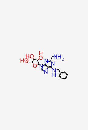 NCc1nc(NCc2ccccc2)c2ncn([C@@H]3O[C@H](CO)[C@@H](O)[C@H]3O)c2n1